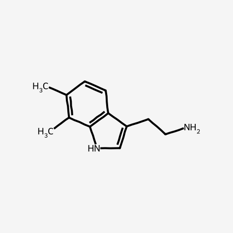 Cc1ccc2c(CCN)c[nH]c2c1C